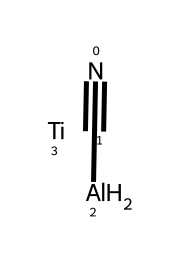 N#[C][AlH2].[Ti]